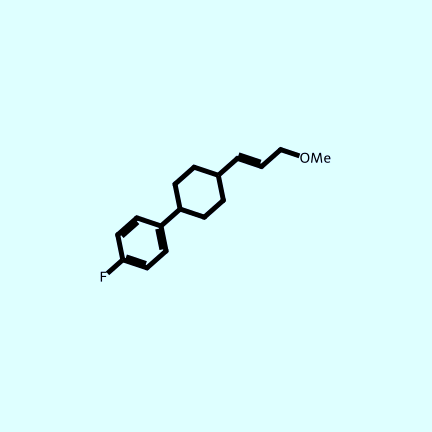 COCC=CC1CCC(c2ccc(F)cc2)CC1